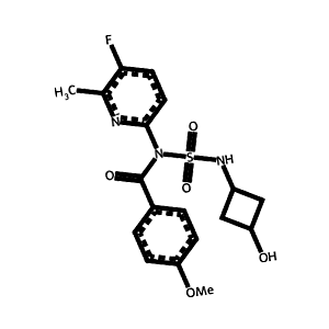 COc1ccc(C(=O)N(c2ccc(F)c(C)n2)S(=O)(=O)NC2CC(O)C2)cc1